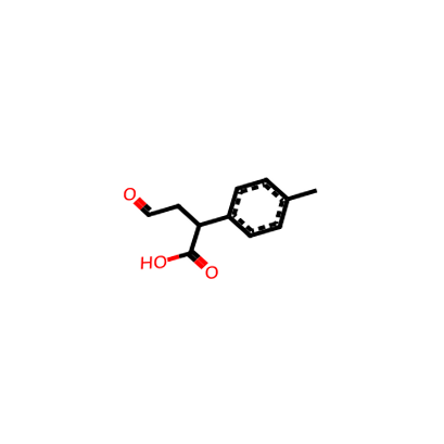 Cc1ccc(C(CC=O)C(=O)O)cc1